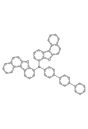 c1ccc(-c2ccc(-c3ccc(N(c4cccc5c4oc4ccc6ccccc6c45)c4cccc5c4oc4ccc6ccccc6c45)cc3)cc2)cc1